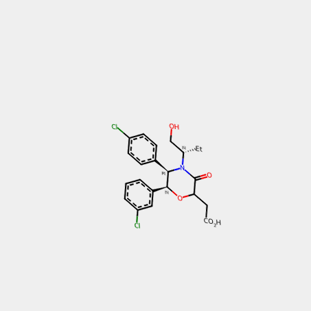 CC[C@@H](CO)N1C(=O)C(CC(=O)O)O[C@@H](c2cccc(Cl)c2)[C@H]1c1ccc(Cl)cc1